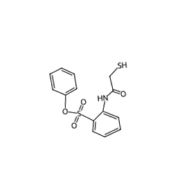 O=C(CS)Nc1ccccc1S(=O)(=O)Oc1ccccc1